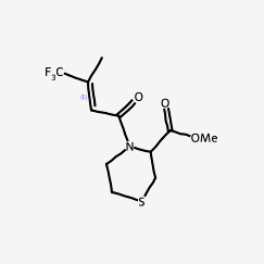 COC(=O)C1CSCCN1C(=O)/C=C(\C)C(F)(F)F